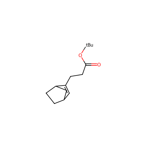 CC(C)(C)OC(=O)CCC1=CC2CCC1C2